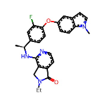 CCN1Cc2c(ccnc2N[C@@H](C)c2ccc(Oc3ccc4c(ccn4C)c3)c(F)c2)C1=O